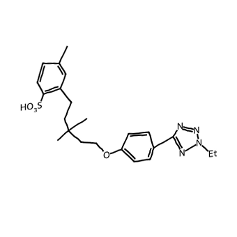 CCn1nnc(-c2ccc(OCCC(C)(C)CCc3cc(C)ccc3S(=O)(=O)O)cc2)n1